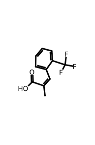 CC(=Cc1ccccc1C(F)(F)F)C(=O)O